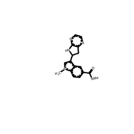 CNC(=O)c1ccc2c(c1)c(C1Cc3nccnc3N1)cn2C